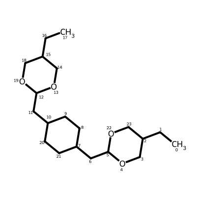 CCC1COC(CC2CCC(CC3OCC(CC)CO3)CC2)OC1